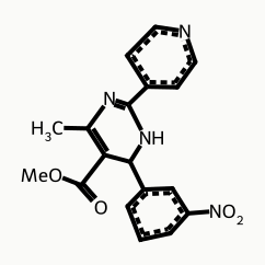 COC(=O)C1=C(C)N=C(c2ccncc2)NC1c1cccc([N+](=O)[O-])c1